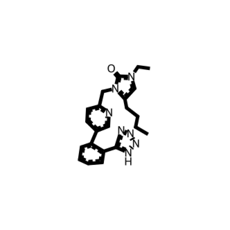 CCCCc1cn(CC)c(=O)n1Cc1ccc(-c2ccccc2-c2nnn[nH]2)cn1